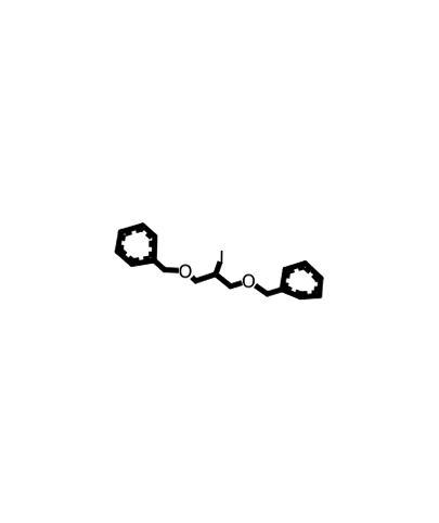 IC(COCc1ccccc1)COCc1ccccc1